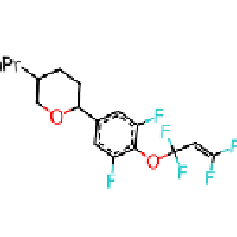 CCCC1CCC(c2cc(F)c(OC(F)(F)C=C(F)F)c(F)c2)OC1